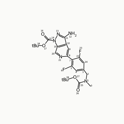 CN(Cc1cc(F)c(-c2cc3c(N)nn(C(=O)OC(C)(C)C)c3cn2)c(F)c1)C(=O)OC(C)(C)C